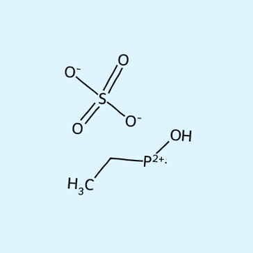 CC[P+2]O.O=S(=O)([O-])[O-]